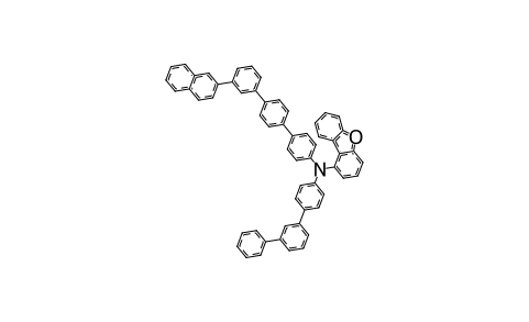 c1ccc(-c2cccc(-c3ccc(N(c4ccc(-c5ccc(-c6cccc(-c7ccc8ccccc8c7)c6)cc5)cc4)c4cccc5oc6ccccc6c45)cc3)c2)cc1